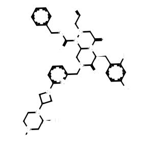 C=CCN1CC(=O)N2C(CN(Cc3cccc(N4CC(N5CCN(C)C[C@@H]5C)C4)n3)C(=O)[C@@H]2Cc2ccc(O)cc2F)N1C(=O)NCc1ccccc1